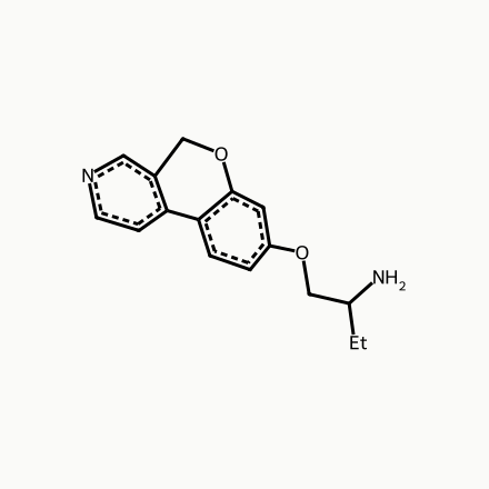 CCC(N)COc1ccc2c(c1)OCc1cnccc1-2